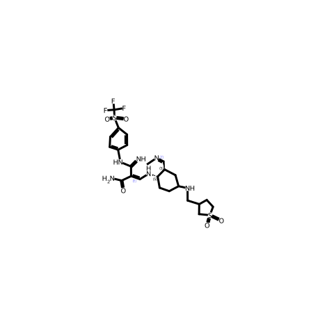 C/N=C\[C@H]1CC(NCC2CCS(=O)(=O)C2)CC[C@@H]1N/C=C(\C(=N)Nc1ccc(S(=O)(=O)C(F)(F)F)cc1)C(N)=O